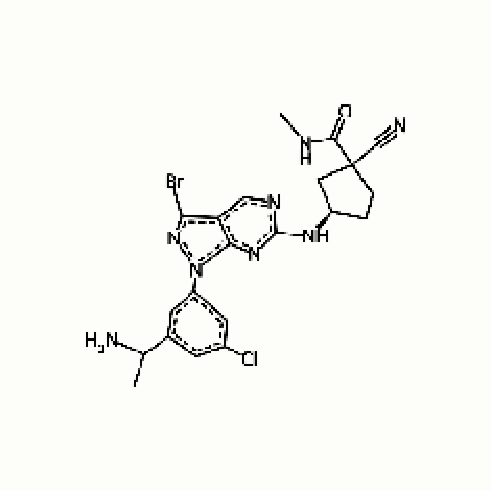 CNC(=O)C1(C#N)CC[C@@H](Nc2ncc3c(Br)nn(-c4cc(Cl)cc(C(C)N)c4)c3n2)C1